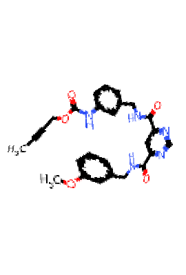 CC#CCOC(=O)Nc1cccc(CNC(=O)c2cc(C(=O)NCc3cccc(OC)c3)ncn2)c1